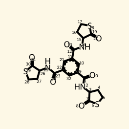 O=C(NC1CCSC1=O)c1cc(C(=O)NC2CCSC2=O)cc(C(=O)NC2CCSC2=O)c1